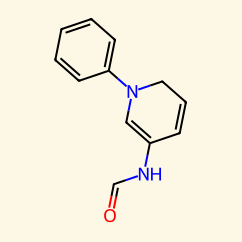 O=CNC1=CN(c2ccccc2)CC=C1